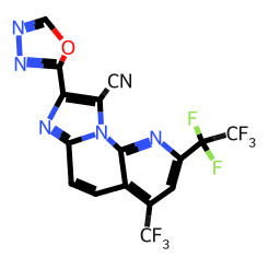 N#Cc1c(-c2nnco2)nc2ccc3c(C(F)(F)F)cc(C(F)(F)C(F)(F)F)nc3n12